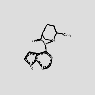 CC1CCC2CN1N(c1ncnc3[nH]ccc13)C2=O